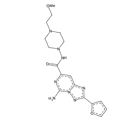 COCCN1CCN(NC(=O)c2cc3nc(-c4ccco4)nn3c(N)n2)CC1